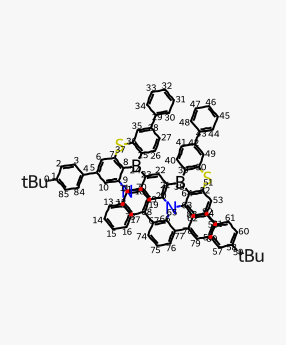 CC(C)(C)c1ccc(-c2cc3c4c(c2)N(c2ccccc2)c2cc5c(cc2B4c2ccc(-c4ccccc4)cc2S3)B2c3ccc(-c4ccccc4)cc3Sc3cc(-c4ccc(C(C)(C)C)cc4)cc(c32)N5c2c(-c3ccccc3)cccc2-c2ccccc2)cc1